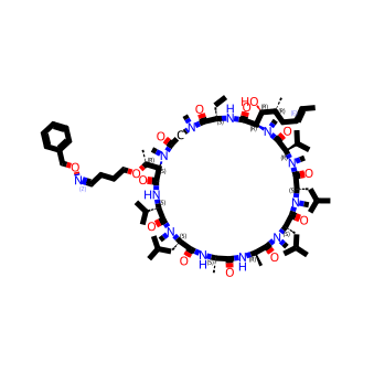 C/C=C/C[C@@H](C)[C@@H](O)[C@@H]1C(=O)N[C@@H](CC)C(=O)N(C)CC(=O)N(C)[C@@H]([C@@H](C)OCCC/C=N\OCc2ccccc2)C(=O)N[C@@H](C(C)C)C(=O)N(C)[C@@H](CC(C)C)C(=O)N[C@@H](C)C(=O)N[C@H](C)C(=O)N(C)[C@@H](CC(C)C)C(=O)N(C)[C@@H](CC(C)C)C(=O)N(C)[C@H](C(C)C)C(=O)N1C